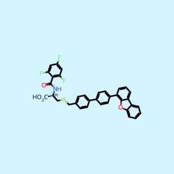 O=C(N[C@@H](CSCc1ccc(-c2ccc(-c3cccc4c3oc3ccccc34)cc2)cc1)C(=O)O)c1c(F)cc(F)cc1F